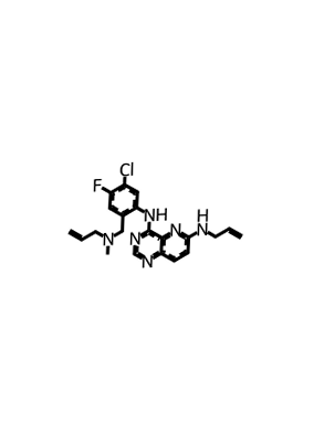 C=CCNc1ccc2ncnc(Nc3cc(Cl)c(F)cc3CN(C)CC=C)c2n1